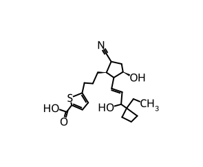 CCC1(C(O)/C=C/C2[C@@H](CCCc3ccc(C(=O)O)s3)C(C#N)C[C@H]2O)CCC1